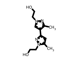 Cc1nn(CCO)cc1-c1[c]c(C)n(CCO)n1